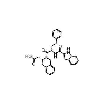 O=C(O)C[C@H]1Cc2ccccc2CN1C(=O)[C@H](CCc1ccccc1)NC(=O)c1cc2ccccc2[nH]1